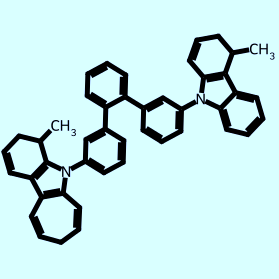 CC1CC=Cc2c1c1ccccc1n2-c1cccc(-c2ccccc2-c2cccc(-n3c4c(c5c3C(C)CC=C5)C=CCC=C4)c2)c1